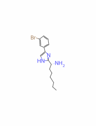 CCCCCC[C@@H](N)c1nc(-c2cccc(Br)c2)c[nH]1